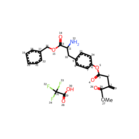 C=C(CC(=O)Oc1ccc(CC(N)C(=O)OCc2ccccc2)cc1)C(=O)OC.O=C(O)C(F)(F)F